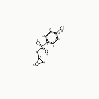 O=S(=O)(CC1CO1)c1ccc(Cl)cc1